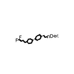 CCCCCCCCCCCC[C@H]1CC[C@H](C2CCC(CCC=C(F)F)CC2)CC1